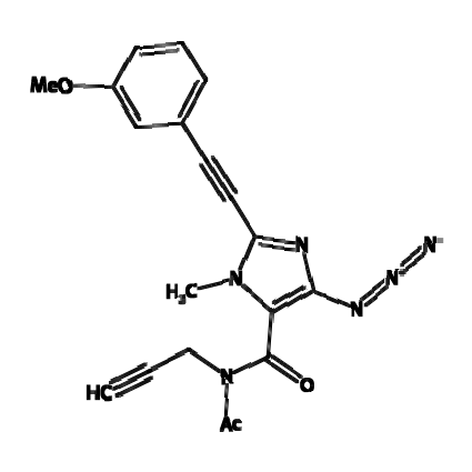 C#CCN(C(C)=O)C(=O)c1c(N=[N+]=[N-])nc(C#Cc2cccc(OC)c2)n1C